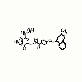 Cc1cc(COc2ccc(C(=O)NCCC(=O)[C@@H]3CNC[C@H]3C(=O)NO)cc2)c2ccccc2n1